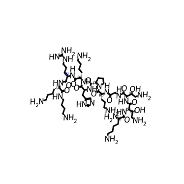 N=C(N)NCC/C=C(\NC(=O)[C@H](CCCCN)NC(=O)C(Cc1cnc[nH]1)NC(=O)[C@@H]1CCCN1C(=O)[C@@H](CCCN)NC(=O)CNC(=O)[C@@H](NC(=O)[C@@H](NC(=O)[C@H](N)CCCCN)[C@@H](O)CN)[C@@H](O)CN)C(=O)N[C@@H](CCCCN)C(=O)NCCCCN